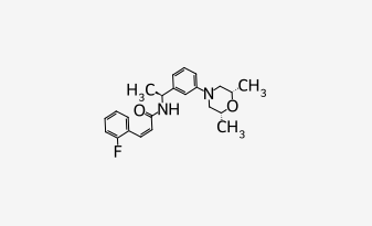 C[C@@H]1CN(c2cccc([C@H](C)NC(=O)/C=C\c3ccccc3F)c2)C[C@H](C)O1